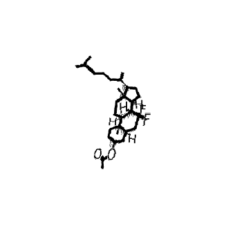 CC(=O)O[C@H]1CC[C@@]2(C)[C@H](C1)CC(F)(F)[C@@H]1[C@@H]2CC[C@]2(C)[C@@H](C(C)CCC=C(C)C)CC[C@@H]12